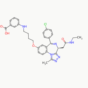 CCNC(=O)C[C@@H]1N=C(c2ccc(Cl)cc2)c2cc(OCCCCNc3cccc(B(O)O)c3)ccc2-n2c(C)nnc21